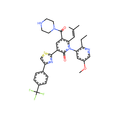 CCc1ncc(OC)cc1-n1c(C=C(C)C)c(C(=O)N2CCNCC2)cc(-c2nc(-c3ccc(C(F)(F)F)cc3)cs2)c1=O